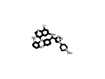 CC(C)(C)N1CCC(n2cc(C(Nc3cc(Cl)c4ncc(C#N)c(Nc5c(F)cccc5F)c4c3)c3ccc(Cl)cc3)nn2)CC1